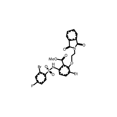 CCc1ccc(NS(=O)(=O)c2ccc(F)cc2Br)c(C(=O)OC)c1OCCN1C(=O)c2ccccc2C1=O